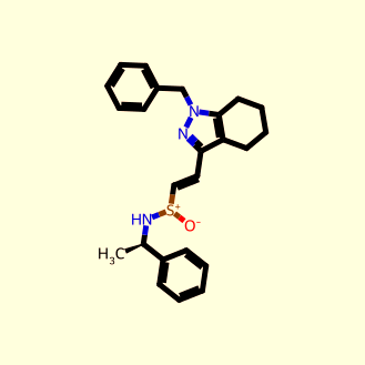 C[C@@H](N[S+]([O-])/C=C/c1nn(Cc2ccccc2)c2c1CCCC2)c1ccccc1